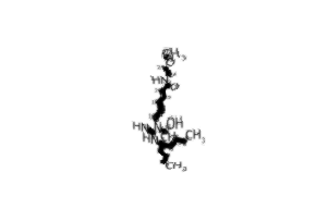 CCCCC(C)(CCCC)NC(=N)N(CO)CCCCCC(=O)NCCOC